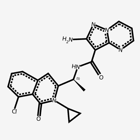 C[C@H](NC(=O)c1c(N)nn2cccnc12)c1cc2cccc(Cl)c2c(=O)n1C1CC1